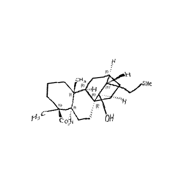 CSC[C@H]1[C@@H]2CC[C@]3(CC[C@@H]4[C@](C)(CCC[C@]4(C)C(=O)O)[C@H]3C2)[C@@H]1O